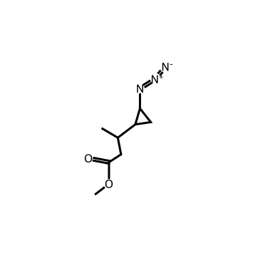 COC(=O)CC(C)C1CC1N=[N+]=[N-]